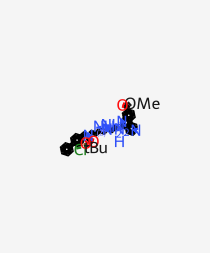 COC(=O)c1ccc2c(c1)nc(NCCN(N)/C=C(\N)CCN(Cc1ccc(-c3ccccc3)c(Cl)c1)C(=O)OC(C)(C)C)c1ccncc12